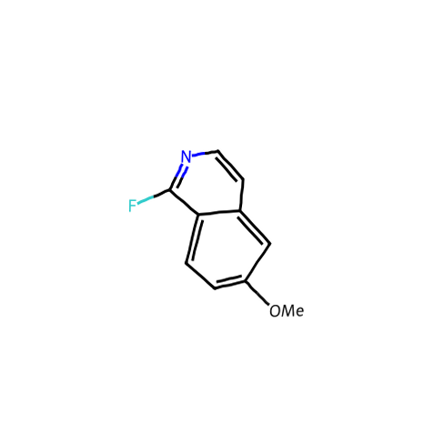 COc1ccc2c(F)nccc2c1